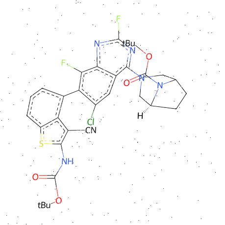 CC(C)(C)OC(=O)Nc1sc2cccc(-c3c(Cl)cc4c(N5CC6CC[C@@H](C5)N6C(=O)OC(C)(C)C)nc(F)nc4c3F)c2c1C#N